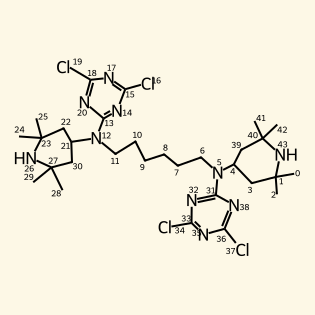 CC1(C)CC(N(CCCCCCN(c2nc(Cl)nc(Cl)n2)C2CC(C)(C)NC(C)(C)C2)c2nc(Cl)nc(Cl)n2)CC(C)(C)N1